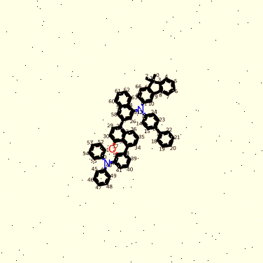 CC1(C)c2ccccc2-c2cc(N(c3ccc(-c4ccccc4)cc3)c3cc(-c4ccc5c6c(cccc46)-c4cccc(N(c6ccccc6)c6ccccc6)c4O5)cc4ccccc34)ccc21